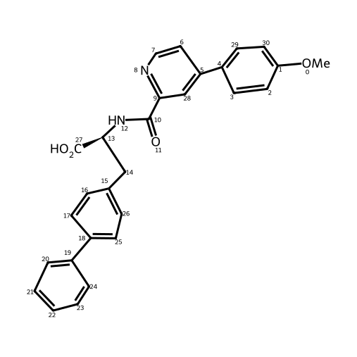 COc1ccc(-c2ccnc(C(=O)N[C@@H](Cc3ccc(-c4ccccc4)cc3)C(=O)O)c2)cc1